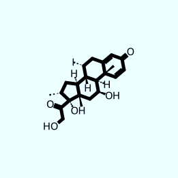 C[C@@H]1C[C@H]2[C@H]3[C@H]([C@@H](O)C[C@]2(C)[C@@]1(O)C(=O)CO)[C@@]1(C)C=CC(=O)C=C1C[C@H]3I